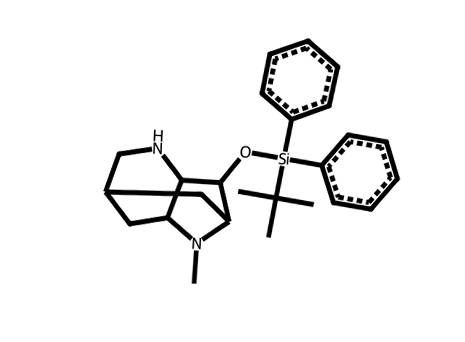 CN1C2CC3CNC2C(O[Si](c2ccccc2)(c2ccccc2)C(C)(C)C)C1C3